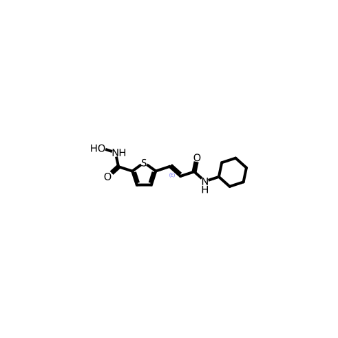 O=C(/C=C/c1ccc(C(=O)NO)s1)NC1CCCCC1